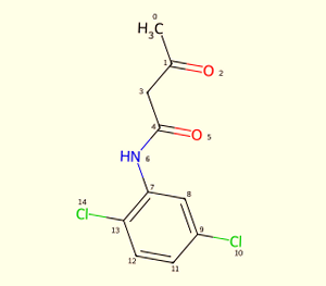 CC(=O)CC(=O)Nc1cc(Cl)ccc1Cl